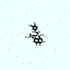 C[C@H](c1c[nH]c(=O)c2c(F)cccc12)N(CCS(N)(=O)=O)C(=O)Nc1ccc(F)c(Cl)c1